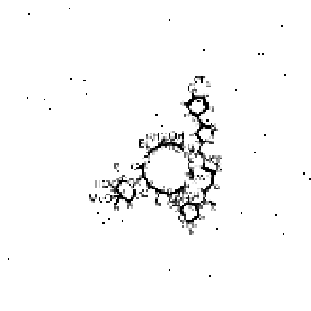 CC[C@H]1OC(=O)[C@H](C)[C@@H](O[C@H]2C[C@@](C)(OC)[C@@H](O)[C@H](C)O2)[C@H](C)[C@@H](O[C@@H]2O[C@H](C)C[C@H](N(C)CCc3cn(C[C@H]4CC(c5ccc(OC(F)(F)F)cc5)=NO4)nn3)[C@H]2O)[C@](C)(O)C[C@@H](C)CN(C)[C@H](C)[C@@H](O)[C@]1(C)O